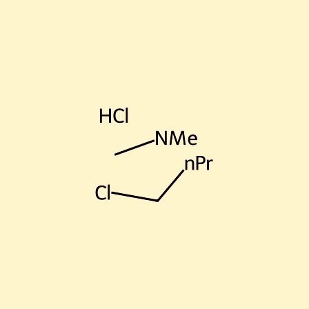 CCCCCl.CNC.Cl